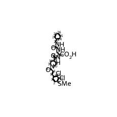 CSc1ccc(C=CC(=O)N2CCC(C(=O)NC(CNC(=O)NCc3ccccc3)C(=O)O)CC2)c(Cl)c1Cl